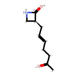 CC(=O)CC/C=C/C[C@H]1CNC1=O